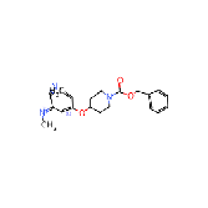 C=C/C(=C\C(C#N)=N/C)OC1CCN(C(=O)OCc2ccccc2)CC1